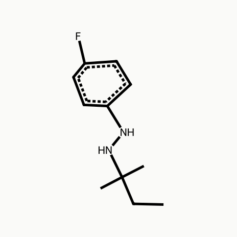 CCC(C)(C)NNc1ccc(F)cc1